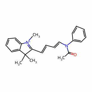 CC(=O)N(/C=C/C=C/C1=[N+](C)c2ccccc2C1(C)C)c1ccccc1